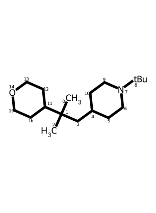 CC(C)(CC1CCN(C(C)(C)C)CC1)C1CCOCC1